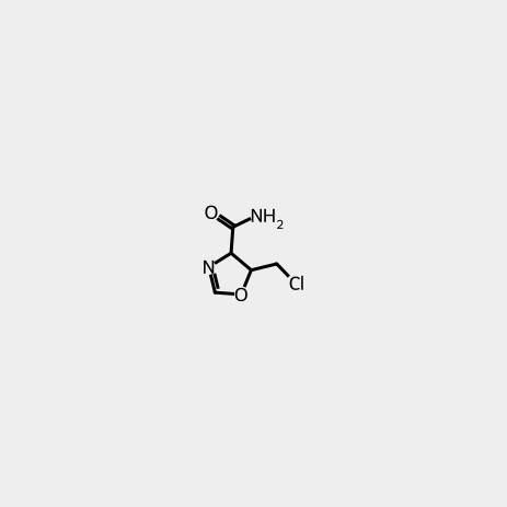 NC(=O)C1N=COC1CCl